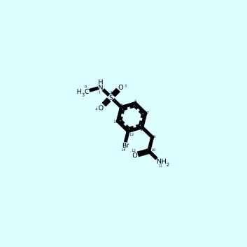 CNS(=O)(=O)c1ccc(CC(N)=O)c(Br)c1